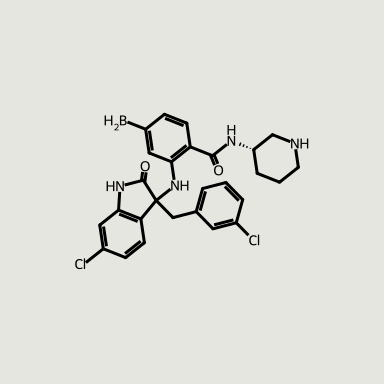 Bc1ccc(C(=O)N[C@H]2CCCNC2)c(NC2(Cc3cccc(Cl)c3)C(=O)Nc3cc(Cl)ccc32)c1